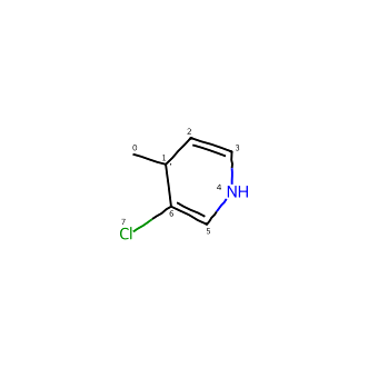 C[C]1C=CNC=C1Cl